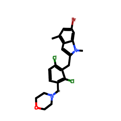 Cc1cc(Br)cc2c1cc(Cc1c(Cl)ccc([C]N3CCOCC3)c1Cl)n2C